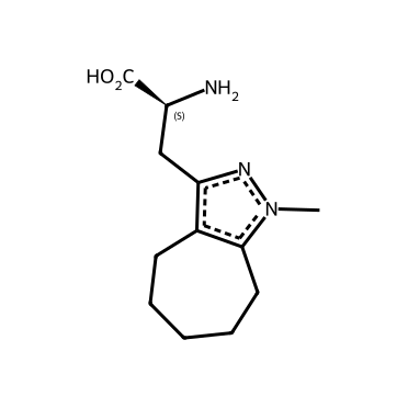 Cn1nc(C[C@H](N)C(=O)O)c2c1CCCCC2